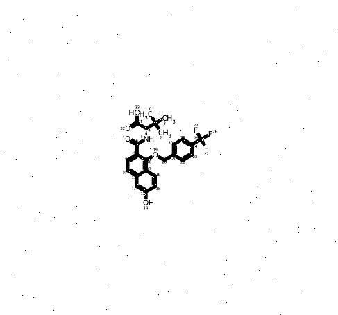 CC(C)(C)[C@H](NC(=O)c1ccc2cc(O)ccc2c1OCc1ccc(C(F)(F)F)cc1)C(=O)O